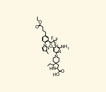 CCOC(=O)CCCc1ccc(-n2ccc(C)n2)c([C@@H](Oc2cc(N3CCC4(CC3)CC(C(=O)O)NC4CC)nc(N)n2)C(F)(F)F)c1